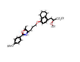 CCOC(=O)C(Cc1ccc(OCCCc2nc(-c3ccc(OC)cc3)oc2C)c2c1CCCC2)OCC